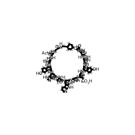 CCC[C@@H]1NC(=O)[C@H](Cc2c[nH]c3ncccc23)NC(=O)[C@H]([C@@H](C)O)NC(=O)[C@H](Cc2cnc[nH]2)NC(=O)[C@H](Cc2ccc(O)cc2)NC(=O)[C@H](C(C)(C)C)NC(=O)[C@@H](NC(C)=O)CCC(=O)NCc2ccc(cc2)C[C@@H](C(N)=O)NC(=O)[C@H]([C@@H](C)O)NC(=O)[C@H](CCC)NC(=O)[C@H](Cc2ccc(O)cc2)NC(=O)[C@H](CCC(=O)O)NC1=O